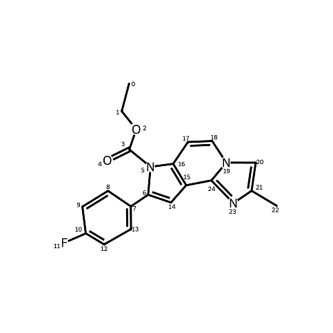 CCOC(=O)n1c(-c2ccc(F)cc2)cc2c1ccn1cc(C)nc21